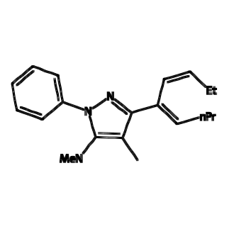 CC/C=C\C(=C/CCC)c1nn(-c2ccccc2)c(NC)c1C